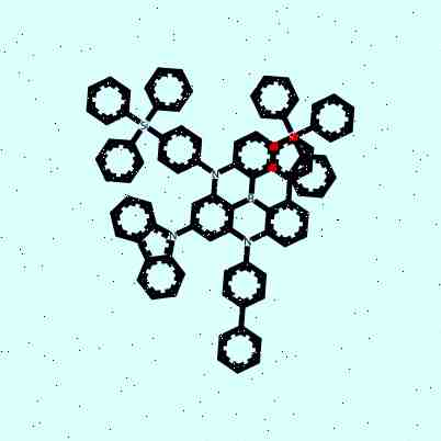 c1ccc(-c2ccc(N3c4cccc(-c5ccccc5)c4B4c5cc([Si](c6ccccc6)(c6ccccc6)c6ccccc6)ccc5N(c5ccc([Si](c6ccccc6)(c6ccccc6)c6ccccc6)cc5)c5cc(-n6c7ccccc7c7ccccc76)cc3c54)cc2)cc1